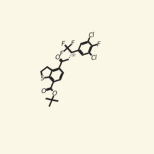 CC(C)(C)OC(=O)c1ccc(C(=O)C[C@@H](c2cc(Cl)c(F)c(Cl)c2)C(F)(F)F)c2c1SCC2